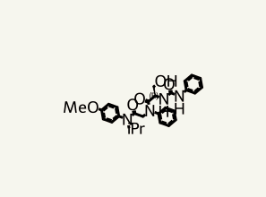 COc1ccc(N(C(=O)CN(C(=O)[C@@H](CO)NC(=O)Nc2ccccc2)c2ccccc2)C(C)C)cc1